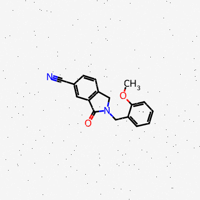 COc1ccccc1CN1Cc2ccc(C#N)cc2C1=O